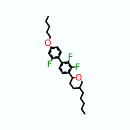 CCCCCOc1ccc(-c2ccc(C3CCC(CCCCC)CO3)c(F)c2F)c(F)c1